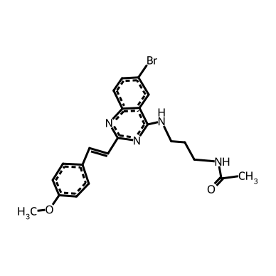 COc1ccc(C=Cc2nc(NCCCNC(C)=O)c3cc(Br)ccc3n2)cc1